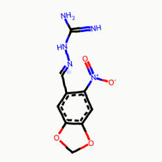 N=C(N)N/N=C/c1cc2c(cc1[N+](=O)[O-])OCO2